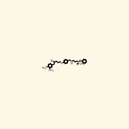 CCC(CCCOc1ccc(CNCCCP(C)(=O)Oc2ccccc2)cc1)Cc1ccc(C)c(C)c1